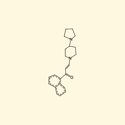 O=C(C=CN1CCC(N2CCCC2)CC1)c1cccc2ccccc12